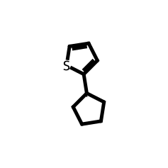 c1csc([C]2CCCC2)c1